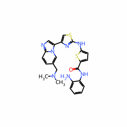 CN(C)Cc1ccc2ncc(-c3csc(Nc4ccc(C(=O)Nc5ccccc5N)s4)n3)n2c1